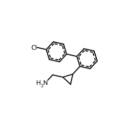 NCC1CC1c1ccccc1-c1ccc(Cl)cc1